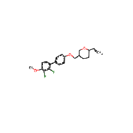 C=CC1CCC(COc2ccc(-c3ccc(OCC)c(F)c3F)cc2)CO1